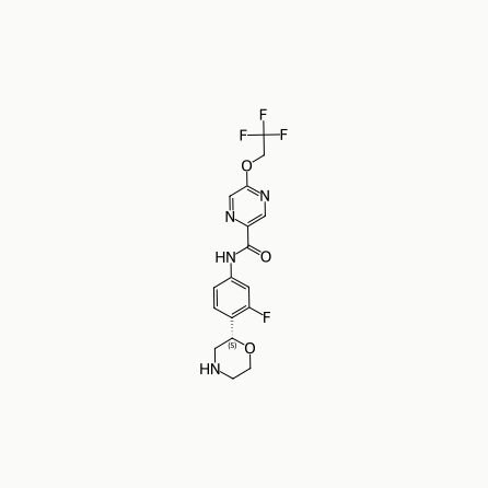 O=C(Nc1ccc([C@H]2CNCCO2)c(F)c1)c1cnc(OCC(F)(F)F)cn1